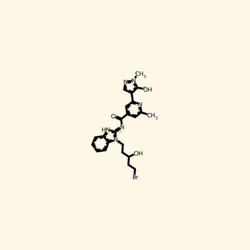 Cc1cc(C(=O)/N=c2\[nH]c3ccccc3n2CCC(O)CCBr)cc(-c2cnn(C)c2O)n1